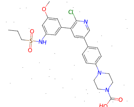 CCCS(=O)(=O)Nc1cc(OC)cc(-c2cc(-c3ccc(N4CCN(C(=O)O)CC4)cc3)cnc2Cl)c1